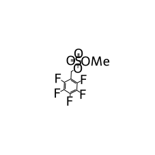 COS(=O)(=O)OCc1c(F)c(F)c(F)c(F)c1F